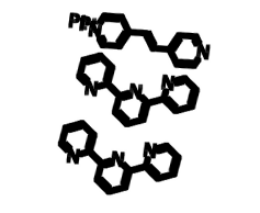 C(=Cc1ccncc1)c1ccncc1.[Pt].[Pt].c1ccc(-c2cccc(-c3ccccn3)n2)nc1.c1ccc(-c2cccc(-c3ccccn3)n2)nc1